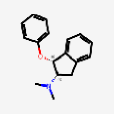 CN(C)[C@H]1Cc2ccccc2[C@H]1Oc1ccccc1